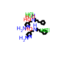 CC(C)(CCc1ccccc1)NCC(O)c1ccc(N)nc1.CC(C)(CCc1ccccc1)NCC(O)c1ccc(N)nc1.Cl.Cl.Cl.Cl.O